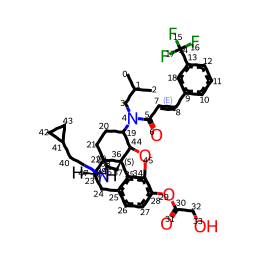 CC(C)CN(C(=O)/C=C/c1cccc(C(F)(F)F)c1)C1CC[C@H]2[C@H]3Cc4ccc(OC(=O)CO)c5c4[C@@]2(CCN3CC2CC2)C1O5